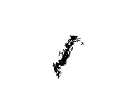 O=C(Nc1cc2cc(-c3cnn4c3CN(CCF)CC4)cnc2cn1)C1CCN(CC2(C(F)(F)F)CC2)CC1